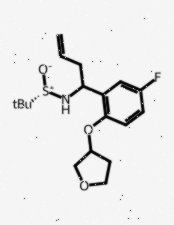 C=CCC(N[S@@+]([O-])C(C)(C)C)c1cc(F)ccc1OC1CCOC1